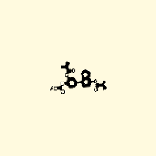 C=C(C)C(=O)Oc1cc(-c2ccc(OC(=O)C(=C)C)c3c2CCC3)ccc1OC(=O)C(C)=O